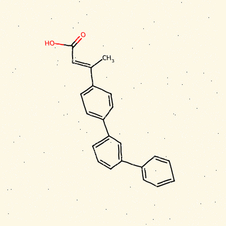 CC(=CC(=O)O)c1ccc(-c2cccc(-c3ccccc3)c2)cc1